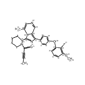 CC#CC(=O)N1CCCC[C@H]1c1nc(-c2ccc(Oc3cccc(OC)c3F)cc2)c2cncc(C)n12